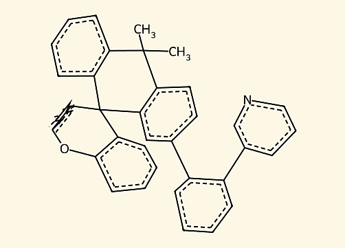 CC1(C)c2ccccc2C2(c3ccccc3Oc3ccccc32)c2cc(-c3ccccc3-c3cccnc3)ccc21